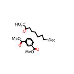 CCCCCCCCCCCCCCCCC(=O)C(=O)O.COC(=O)c1cccc(C(=O)OC)c1